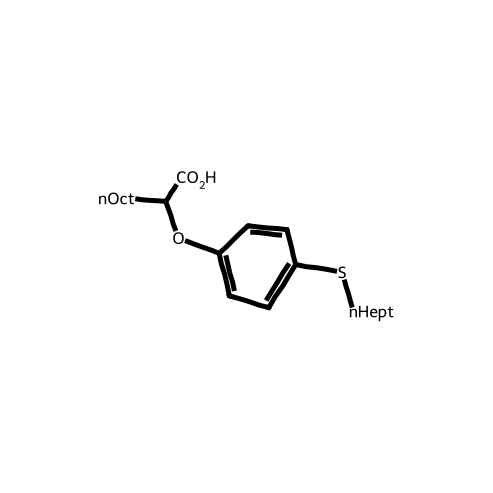 CCCCCCCCC(Oc1ccc(SCCCCCCC)cc1)C(=O)O